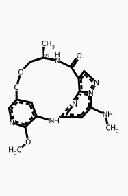 CNc1cc2nc3c(cnn13)C(=O)N[C@H](C)COCc1cnc(OC)c(c1)N2